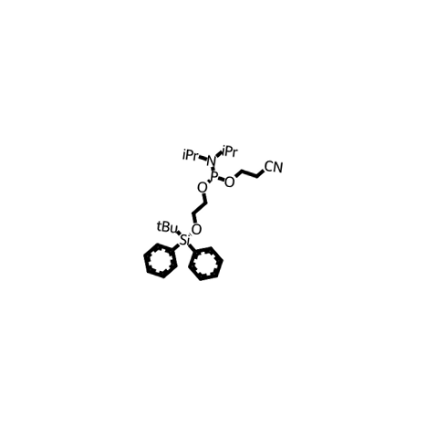 CC(C)N(C(C)C)P(OCCC#N)OCCO[Si](c1ccccc1)(c1ccccc1)C(C)(C)C